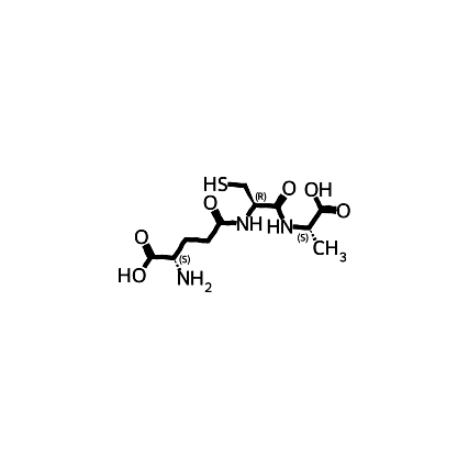 C[C@H](NC(=O)[C@H](CS)NC(=O)CC[C@H](N)C(=O)O)C(=O)O